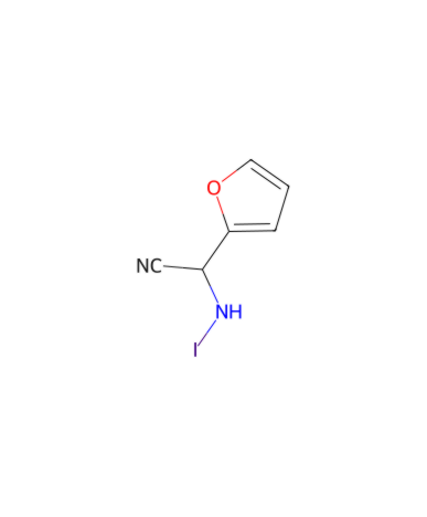 N#CC(NI)c1ccco1